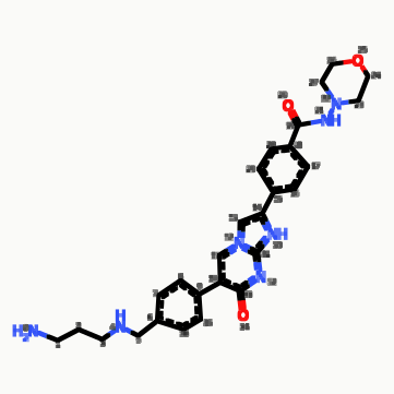 NCCCNCc1ccc(-c2cn3cc(-c4ccc(C(=O)NN5CCOCC5)cc4)[nH]c3nc2=O)cc1